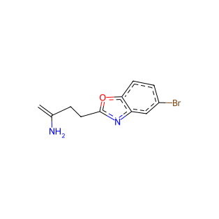 C=C(N)CCc1nc2cc(Br)ccc2o1